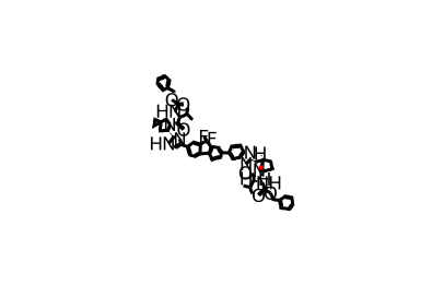 CC(C)[C@H](NC(=O)OCc1ccccc1)C(=O)N1CC2(CC2)C[C@H]1c1nc(-c2ccc3c(c2)C(F)(F)c2cc(-c4ccc5nc([C@@H]6[C@H]7CC[C@H](C7)N6C(=O)[C@@H](NC(=O)OCc6ccccc6)C(C)C)[nH]c5c4)ccc2-3)c[nH]1